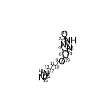 O=C1CN2Cc3cc(OCCCCCn4ccnc4)ccc3N=C2N1